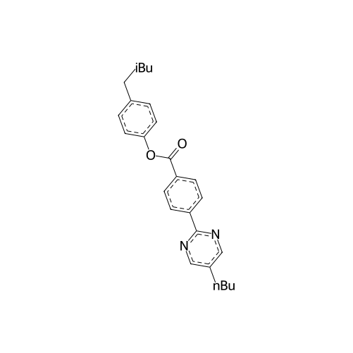 CCCCc1cnc(-c2ccc(C(=O)Oc3ccc(CC(C)CC)cc3)cc2)nc1